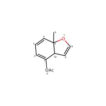 CC(=O)OC1=CC=CC2(C)OC=CC12